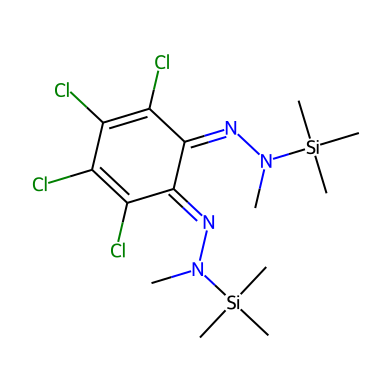 CN(N=C1C(=NN(C)[Si](C)(C)C)C(Cl)=C(Cl)C(Cl)=C1Cl)[Si](C)(C)C